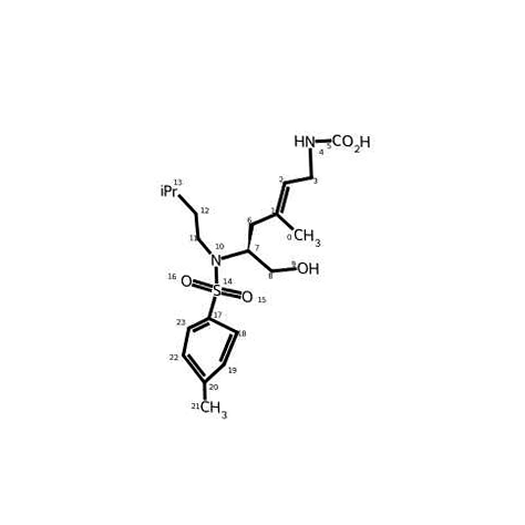 C/C(=C\CNC(=O)O)C[C@@H](CO)N(CCC(C)C)S(=O)(=O)c1ccc(C)cc1